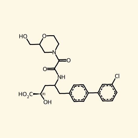 O=C(NC(Cc1ccc(-c2cccc(Cl)c2)cc1)C[C@@H](O)C(=O)O)C(=O)N1CCOC(CO)C1